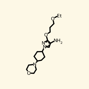 CCOCCCOc1nn(C2CCC(N3CCOCC3)CC2)cc1N